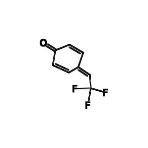 O=C1C=CC(=CC(F)(F)F)C=C1